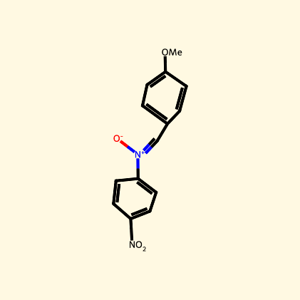 COc1ccc(C=[N+]([O-])c2ccc([N+](=O)[O-])cc2)cc1